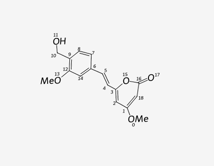 COc1cc(/C=C/c2ccc(CO)c(OC)c2)oc(=O)c1